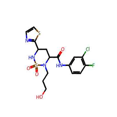 O=C(Nc1ccc(F)c(Cl)c1)C1CC(c2nccs2)NS(=O)(=O)N1CCCO